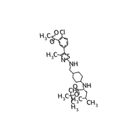 Cc1nc(NCC2CCC(N[C@@H](CC(C)C)C(=O)OC(C)(C)C)CC2)sc1-c1ccc(Cl)c(S(C)(=O)=O)c1